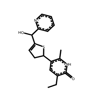 CCc1cc(C2CC=C(C(O)c3ccccn3)S2)c(C)[nH]c1=O